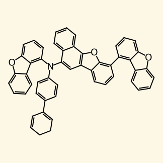 C1=CC(c2ccc(N(c3cc4c5cccc(-c6cccc7oc8ccccc8c67)c5oc4c4ccccc34)c3cccc4oc5ccccc5c34)cc2)=CCC1